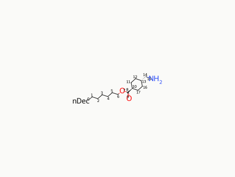 CCCCCCCCCCCCCCCCOC(=O)[C@H]1CC[C@H](CN)CC1